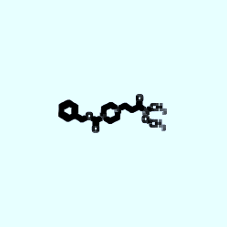 CON(C)C(=O)CCN1CCN(C(=O)OCc2ccccc2)CC1